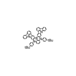 CC(C)(C)c1ccc(N2c3cc4c(cc3B3c5cc6c7cccc8c9ccccc9n(c6cc5N(c5ccc(C(C)(C)C)cc5)c5cccc2c53)c87)c2cccc3c5ccccc5n4c32)cc1